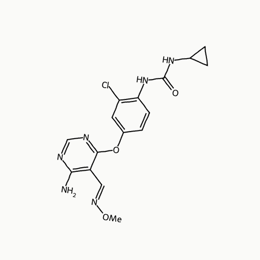 CON=Cc1c(N)ncnc1Oc1ccc(NC(=O)NC2CC2)c(Cl)c1